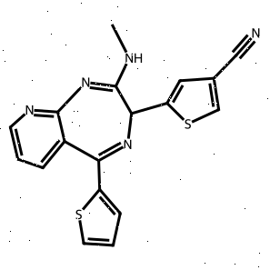 CNC1=Nc2ncccc2C(c2cccs2)=NC1c1cc(C#N)cs1